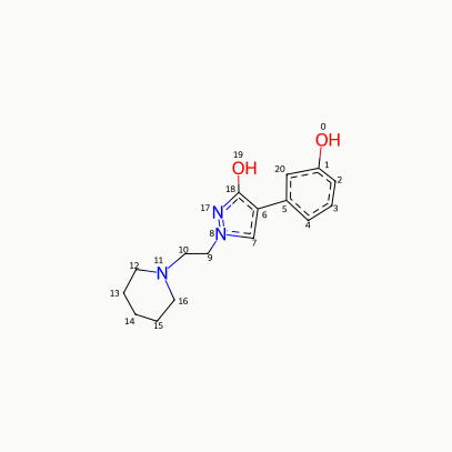 Oc1cccc(-c2cn(CCN3CCCCC3)nc2O)c1